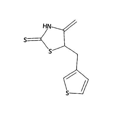 C=C1NC(=S)SC1Cc1ccsc1